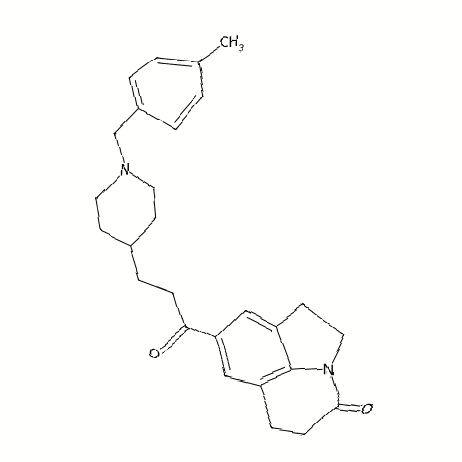 Cc1ccc(CN2CCC(CCC(=O)c3cc4c5c(c3)CCN5C(=O)CC4)CC2)cc1